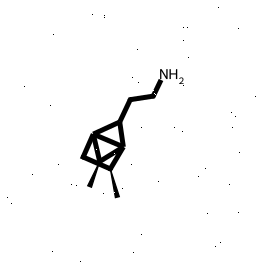 C[C@H]1CC23C(CCN)C12[C@H]3C